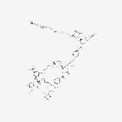 CCn1nc(C)cc1C(=O)Nc1nc2cc(C(N)=O)ccc2n1C/C=C/Cn1c(NC(=O)c2cc(C)nn2CC)nc2cc(C(N)=O)cc(OCCCN3CC4(C3)CN(C(=O)[C@H](CC(C)C)NC(=O)OCc3ccc(NC(=O)[C@H](CCCNC(N)=O)NC(=O)[C@@H](NC(=O)CCOCCOCCOCCOCCON)C(C)C)cc3)CCO4)c21